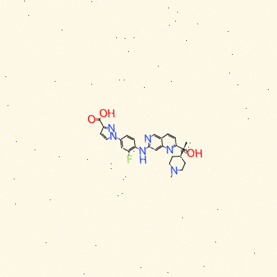 CN1CCC([C@@](C)(O)c2ccc3cnc(Nc4ccc(-n5ccc(C(=O)O)n5)cc4F)cc3n2)CC1